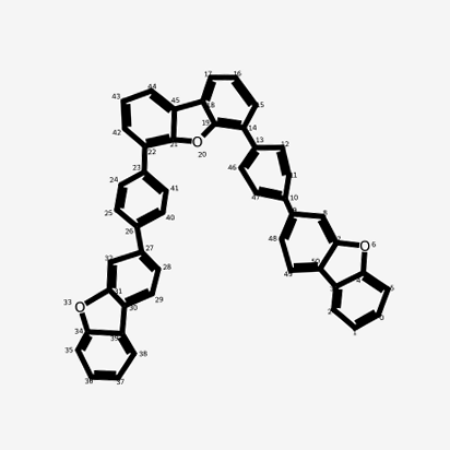 c1ccc2c(c1)oc1cc(-c3ccc(-c4cccc5c4oc4c(-c6ccc(-c7ccc8c(c7)oc7ccccc78)cc6)cccc45)cc3)ccc12